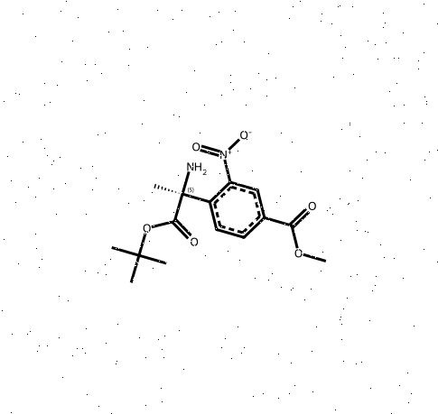 COC(=O)c1ccc([C@](C)(N)C(=O)OC(C)(C)C)c([N+](=O)[O-])c1